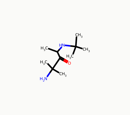 CC(NC(C)(C)C)C(=O)C(C)(C)N